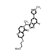 COCCOc1cnc2ccn([C@@H](C)c3nnc4c(F)cc(-c5cnn(C)c5)cn34)c(=O)c2c1